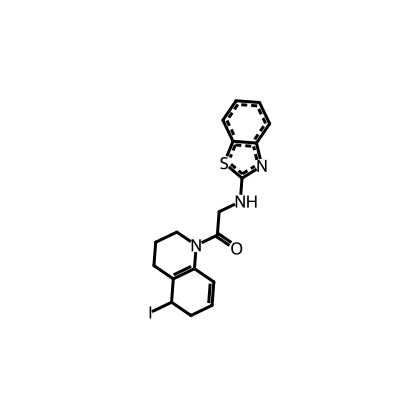 O=C(CNc1nc2ccccc2s1)N1CCCC2=C1C=CCC2I